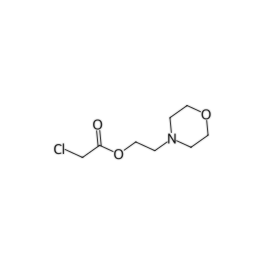 O=C(CCl)OCCN1CCOCC1